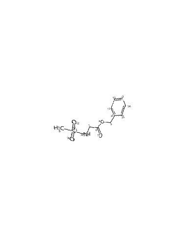 CS(=O)(=O)NCC(=O)OCc1ccccc1